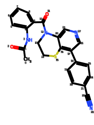 CC(=O)Nc1ccccc1C(=O)N1CCSc2c(-c3ccc(C#N)cc3)cncc21